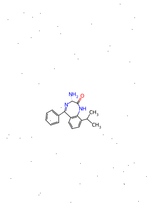 CC(C)c1cccc2c1NC(=O)[C@@H](N)N=C2c1ccccc1